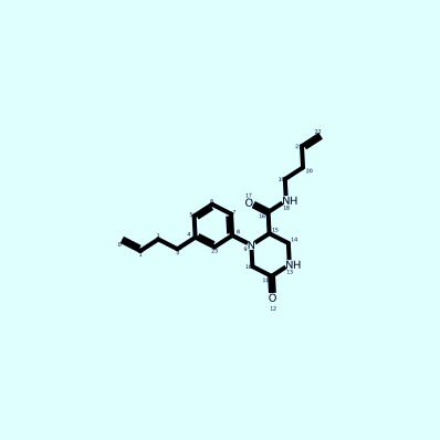 C=CC[CH]c1cccc(N2CC(=O)NCC2C(=O)NCCC=C)c1